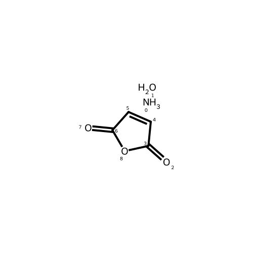 N.O.O=C1C=CC(=O)O1